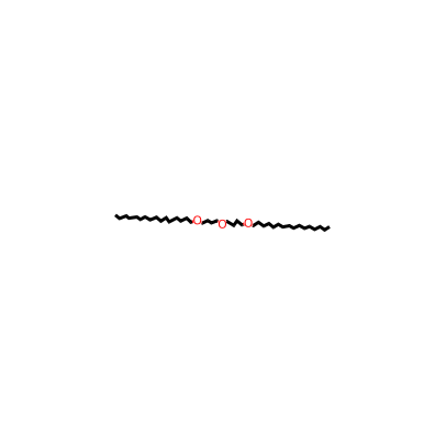 CCCCCCCCCCCCCCCCOCCCCOCCCCOCCCCCCCCCCCCCCCC